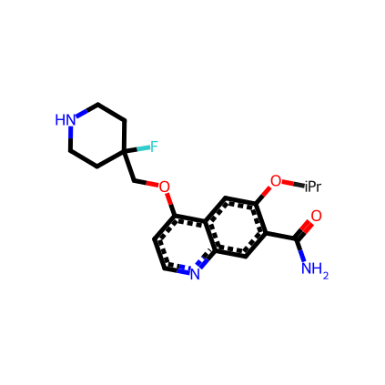 CC(C)Oc1cc2c(OCC3(F)CCNCC3)ccnc2cc1C(N)=O